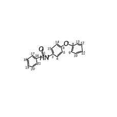 O=C(Nc1ccc(Oc2cc[c]cc2)cc1)c1ccccc1